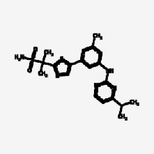 Cc1cc(Nc2nccc(C(C)C)n2)cc(-c2cnc(C(C)(C)S(N)(=O)=O)s2)c1